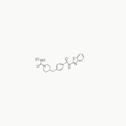 CCNC(=O)N1CCC(Cc2ccc(C(=O)Nc3nc4ccccc4s3)cc2)CC1